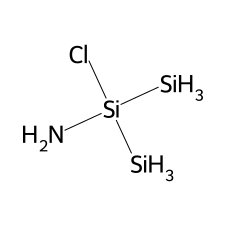 N[Si]([SiH3])([SiH3])Cl